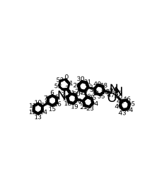 C1=Cc2c(n(-c3ccc(-c4ccccc4)cc3)c3ccc(-c4ccccc4-c4ccccc4-c4ccc(-c5nnc(-c6ccccc6)o5)cc4)cc23)CC1